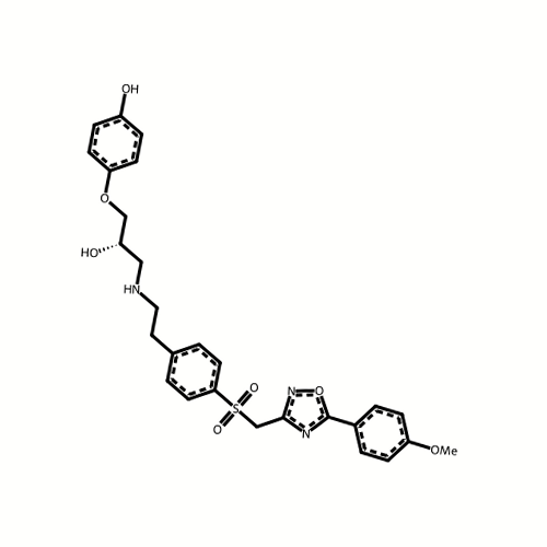 COc1ccc(-c2nc(CS(=O)(=O)c3ccc(CCNC[C@H](O)COc4ccc(O)cc4)cc3)no2)cc1